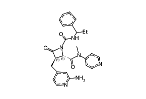 CCC(NC(=O)N1C(=O)[C@H](Cc2ccnc(N)c2)[C@H]1C(=O)N(C)c1ccncc1)c1ccccc1